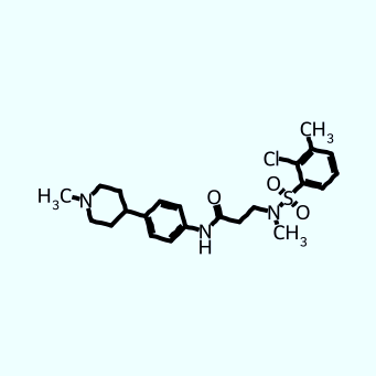 Cc1cccc(S(=O)(=O)N(C)CCC(=O)Nc2ccc(C3CCN(C)CC3)cc2)c1Cl